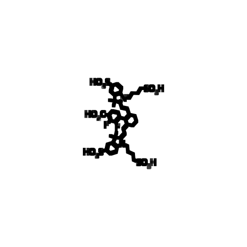 CC1(C)C(/C=C/C2=C(c3ccc(C(=O)O)c(F)c3F)C(=C/C=C3/N(CCCCS(=O)(=O)O)c4ccc(S(=O)(=O)O)cc4C3(C)C)/CCC2)=[N+](CCCCS(=O)(=O)O)c2ccc(S(=O)(=O)O)cc21